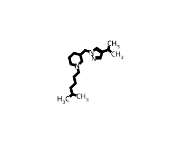 CC(C)CCCCN1CCCC(Cn2cc(C(C)C)cn2)C1